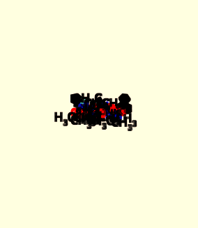 CC[C@H](C)[C@@H]([C@@H](CC(=O)N1[C@H]2C[C@H]2C[C@H]1[C@H](OC)[C@@H](C)C(=O)N[C@@H](Cc1ccccc1F)C(=O)OC(C)(C)C)OC)N(C)C(=O)[C@@H](NC(=O)[C@H](C(C)C)N(C)C(=O)OCC1c2ccccc2-c2ccccc21)C(C)C